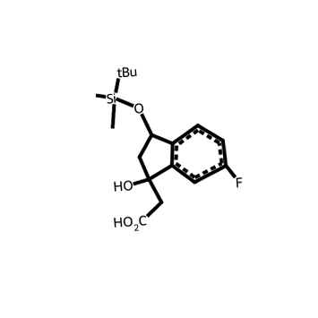 CC(C)(C)[Si](C)(C)OC1CC(O)(CC(=O)O)c2cc(F)ccc21